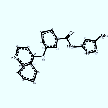 CC(C)(C)c1cc(NC(=O)c2cccc(Oc3ccnc4ccccc34)c2)no1